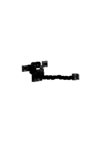 CCC=CCC=CCC=CCC=CCC=CCCSC(CC)(CC)C(=O)Nc1ccc(O)c(C(=O)O)c1